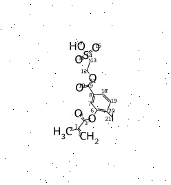 C=C(C)C(=O)Oc1cc(C(=O)OCCS(=O)(=O)O)ccc1I